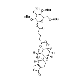 CCCCOCC1O[C@@H](OC(=O)CCCC(=O)O[C@@H]2[C@@]3(C(C)C)O[C@H]3[C@@H]3O[C@]34[C@]23O[C@H]3C[C@H]2C3=C(CC[C@@]24C)C(=O)OC3)C(OCCCC)[C@@H](OCCCC)[C@@H]1OCCCC